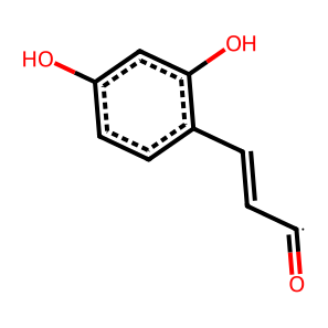 O=[C]/C=C/c1ccc(O)cc1O